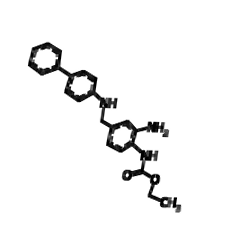 CCOC(=O)Nc1ccc(CNc2ccc(-c3ccccc3)cc2)cc1N